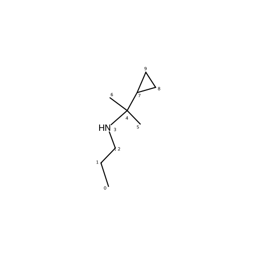 CC[CH]NC(C)(C)C1CC1